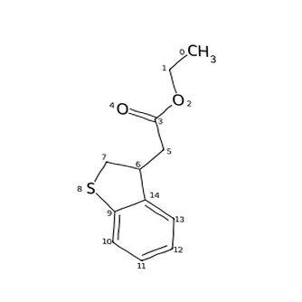 CCOC(=O)CC1CSc2ccccc21